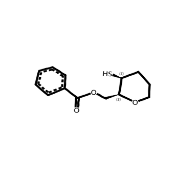 O=C(OC[C@@H]1OCCC[C@@H]1S)c1ccccc1